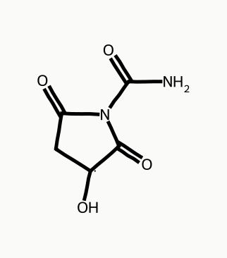 NC(=O)N1C(=O)C[C](O)C1=O